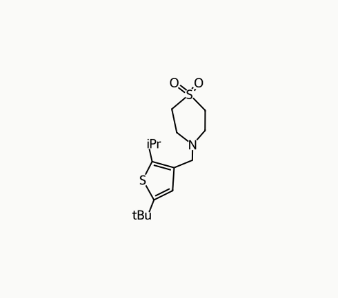 CC(C)c1sc(C(C)(C)C)cc1CN1CCS(=O)(=O)CC1